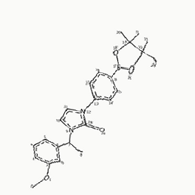 COc1cccc(C(C)n2ccn(-c3ccc(B4OC(C)(C)C(C)(C)O4)cc3)c2=O)c1